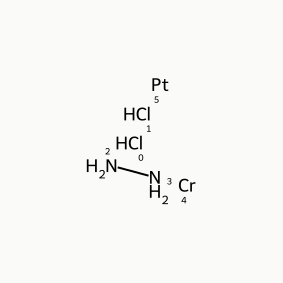 Cl.Cl.NN.[Cr].[Pt]